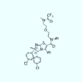 CC(C)C1=C(C(=O)N(CCOCCN(C)C(=O)C(F)(F)F)C(C)C)SC2=N[C@@](C)(c3ccc(Cl)cc3)[C@@H](c3ccc(Cl)cc3)N21